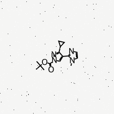 Cn1ccnc1-c1cn(C(=O)OC(C)(C)C)nc1C1CC1